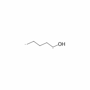 [CH2]CCC[CH]O